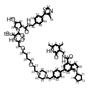 Cc1cc(C)c(CNC(=O)c2cc(-c3ccc(CN4CCN(CCOCCCCOCC(=O)NC(C(=O)N5C[C@H](O)C[C@H]5C(=O)NCc5ccc(-c6scnc6C)cc5)C(C)(C)C)CC4)cc3)cc3c2ccn3C2CCCC2)c(=O)[nH]1